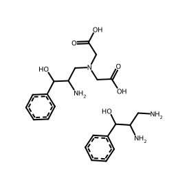 NC(CN(CC(=O)O)CC(=O)O)C(O)c1ccccc1.NCC(N)C(O)c1ccccc1